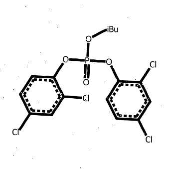 CCC(C)OP(=O)(Oc1ccc(Cl)cc1Cl)Oc1ccc(Cl)cc1Cl